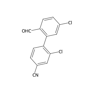 N#Cc1ccc(-c2cc(Cl)ccc2C=O)c(Cl)c1